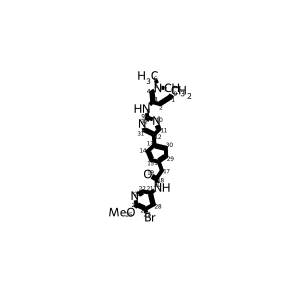 C=C=C/C(=C\N(C)C)Nc1ncc(-c2ccc(CC(=O)Nc3cnc(OC)c(Br)c3)cc2)cn1